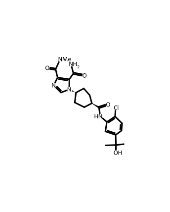 CNC(=O)c1ncn([C@H]2CC[C@H](C(=O)Nc3cc(C(C)(C)O)ccc3Cl)CC2)c1C(N)=O